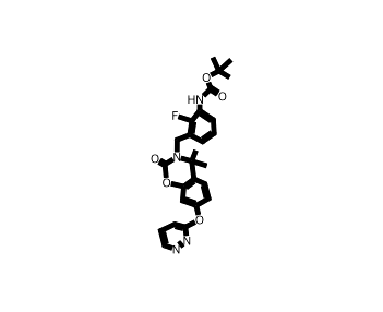 CC(C)(C)OC(=O)Nc1cccc(CN2C(=O)Oc3cc(Oc4cccnn4)ccc3C2(C)C)c1F